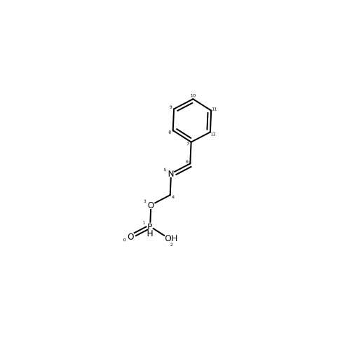 O=[PH](O)OCN=Cc1ccccc1